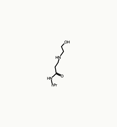 CCCNC(=O)CCNCCO